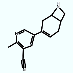 Cc1ncc(C2=CCC3CNC3C2)cc1C#N